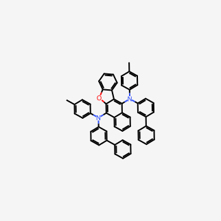 Cc1ccc(N(c2cccc(-c3ccccc3)c2)c2c3ccccc3c(N(c3ccc(C)cc3)c3cccc(-c4ccccc4)c3)c3c2oc2ccccc23)cc1